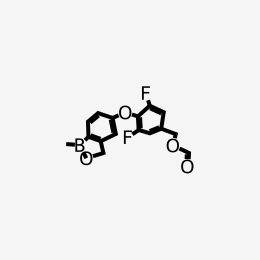 CB1OCc2cc(Oc3c(F)cc(COC=O)cc3F)ccc21